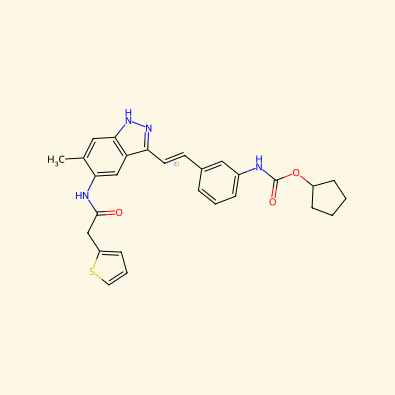 Cc1cc2[nH]nc(/C=C/c3cccc(NC(=O)OC4CCCC4)c3)c2cc1NC(=O)Cc1cccs1